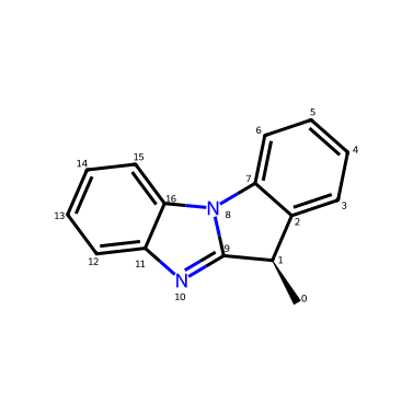 C[C@@H]1c2ccccc2-n2c1nc1ccccc12